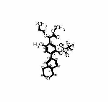 CCCOC(C(=O)OC)c1cc(OS(=O)(=O)C(F)(F)F)c(-c2ccc3c(c2)CCOC3)cc1C